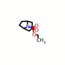 CCOC(=O)N1C2CCC1CC(=O)C2